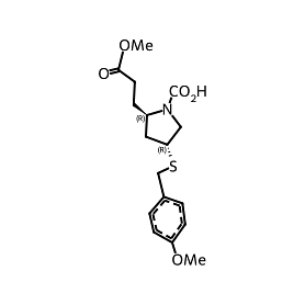 COC(=O)CC[C@@H]1C[C@@H](SCc2ccc(OC)cc2)CN1C(=O)O